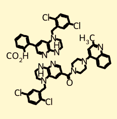 Cc1cc(N2CCN(C(=O)c3cnc4c(c3)N(Cc3cc(Cl)ccc3Cl)CCN4)CC2)c2ccccc2n1.O=C(O)c1ccccc1-c1cnc2c(c1)N(Cc1cc(Cl)ccc1Cl)CCN2